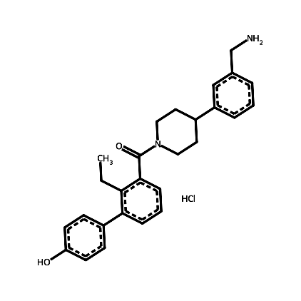 CCc1c(C(=O)N2CCC(c3cccc(CN)c3)CC2)cccc1-c1ccc(O)cc1.Cl